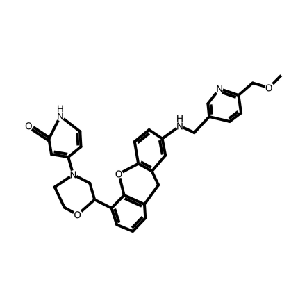 COCc1ccc(CNc2ccc3c(c2)Cc2cccc(C4CN(c5cc[nH]c(=O)c5)CCO4)c2O3)cn1